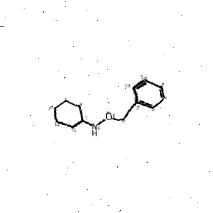 c1ccc(CONC2CCCCC2)cc1